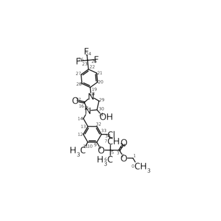 CCOC(=O)C(C)(C)Oc1c(C)cc(CN2C(=O)N(c3ccc(C(F)(F)F)cc3)CC2O)cc1Cl